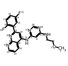 COCCNc1cc(Nc2cc(-c3cc(F)ccc3F)nc3ncccc23)ncn1